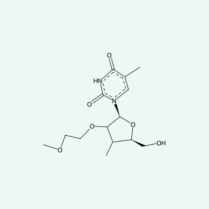 COCCOC1C(C)[C@H](CO)O[C@@H]1n1cc(C)c(=O)[nH]c1=O